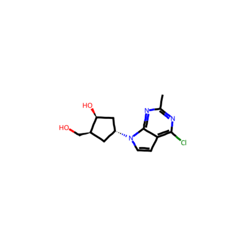 Cc1nc(Cl)c2ccn([C@@H]3C[C@@H](CO)[C@@H](O)C3)c2n1